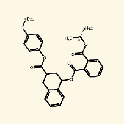 CCCCCCCCCCOc1ccc(OC(=O)C2Cc3ccccc3C(OC(=O)c3ccccc3C(=O)O[C@H](C)CCCCCC)C2)cc1